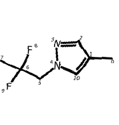 Cc1cnn(CC(C)(F)F)c1